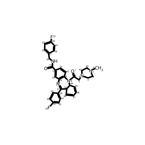 CN1CCN(CC(=O)N2c3ccc(C(=O)NCc4ccc(F)cc4)cc3N=C(c3ccc(F)cc3)C3C=CC=CC32)CC1